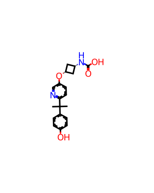 CC(C)(c1ccc(O)cc1)c1ccc(O[C@H]2C[C@@H](NC(=O)O)C2)cn1